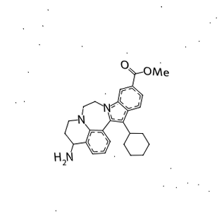 COC(=O)c1ccc2c(C3CCCCC3)c3n(c2c1)CCN1CCC(N)c2cccc-3c21